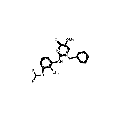 COc1cn(Cc2ccccc2)c(Nc2cccc(OC(F)F)c2C)nc1=O